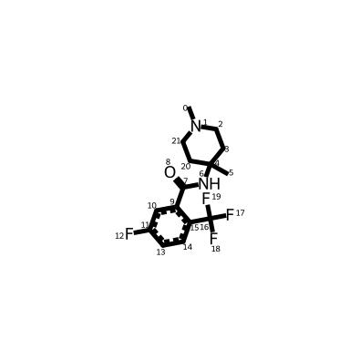 CN1CCC(C)(NC(=O)c2cc(F)ccc2C(F)(F)F)CC1